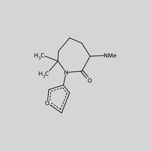 CNC1CCCC(C)(C)N(c2ccoc2)C1=O